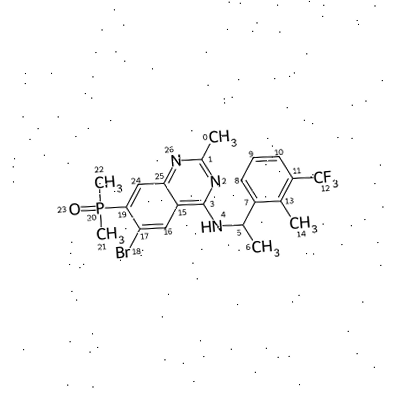 Cc1nc(NC(C)c2cccc(C(F)(F)F)c2C)c2cc(Br)c(P(C)(C)=O)cc2n1